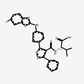 CC(C)[C@H](NC(=S)c1c(-c2ccc(Nc3nc4ccc(F)cc4s3)cc2)noc1-c1ccccc1)C(=O)O